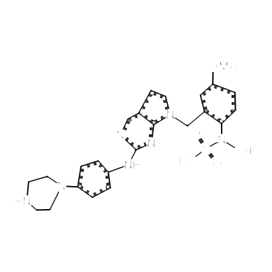 COc1ccc(N(C)S(C)(=O)=O)c(Cn2ccc3cnc(Nc4ccc(N5CCNCC5)cc4)nc32)c1